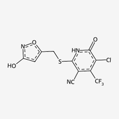 N#Cc1c(SCc2cc(O)no2)[nH]c(=O)c(Cl)c1C(F)(F)F